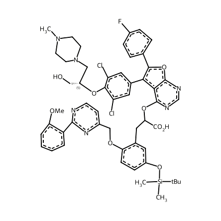 COc1ccccc1-c1nccc(COc2ccc(O[Si](C)(C)C(C)(C)C)cc2CC(Oc2ncnc3oc(-c4ccc(F)cc4)c(-c4cc(Cl)c(O[C@H](CO)CN5CCN(C)CC5)c(Cl)c4)c23)C(=O)O)n1